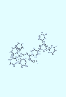 C=N/C(=N\C1=C(c2ccccc2)C2(c3ccccc31)c1ccccc1-c1ccccc12)c1ccc(-c2cc(-c3ccccc3)nc(-c3ccccc3)n2)cc1